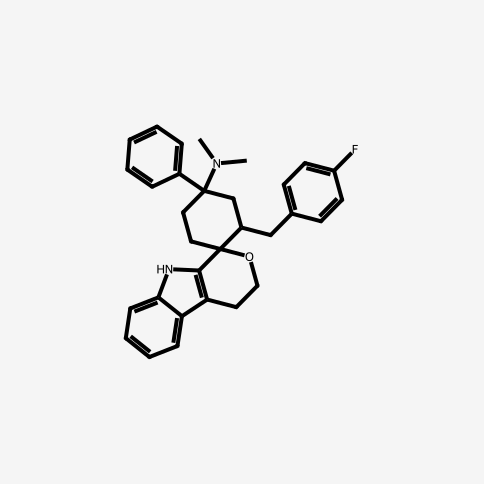 CN(C)C1(c2ccccc2)CCC2(OCCc3c2[nH]c2ccccc32)C(Cc2ccc(F)cc2)C1